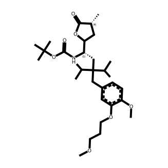 COCCCOc1cc(CC(C[C@H](NC(=O)OC(C)(C)C)C2C[C@@H](C)C(=O)O2)(C(C)C)C(C)C)ccc1OC